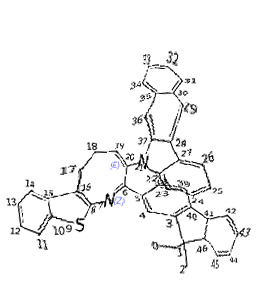 CC1(C)c2cc(C3=N/c4sc5ccccc5c4CC/C=C\3n3c4ccccc4c4cc5ccccc5cc43)ccc2C2C=CC=CC21